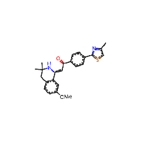 COc1ccc2c(c1)/C(=C/C(=O)c1ccc(-c3nc(C)cs3)cc1)NC(C)(C)C2